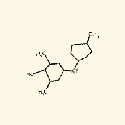 CC1CCC(NC2CC(C)C(O)C(C)C2)CC1